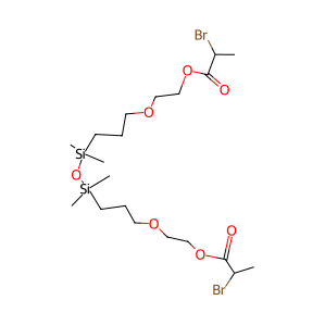 CC(Br)C(=O)OCCOCCC[Si](C)(C)O[Si](C)(C)CCCOCCOC(=O)C(C)Br